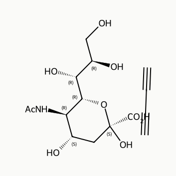 C#CC#C.CC(=O)N[C@H]1[C@H]([C@H](O)[C@H](O)CO)O[C@](O)(C(=O)O)C[C@@H]1O